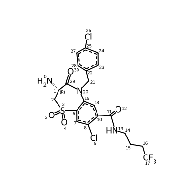 N[C@H]1CS(=O)(=O)c2cc(Cl)c(C(=O)NCCCC(F)(F)F)cc2N(Cc2ccc(Cl)cc2)C1=O